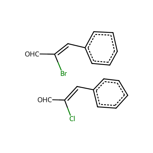 O=C/C(Br)=C/c1ccccc1.O=C/C(Cl)=C/c1ccccc1